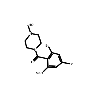 CCc1cc(Br)cc(OC)c1C(=O)N1CCN(C=O)CC1